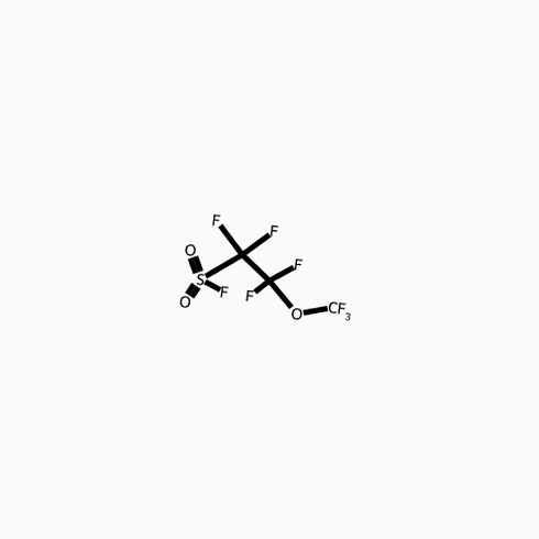 O=S(=O)(F)C(F)(F)C(F)(F)OC(F)(F)F